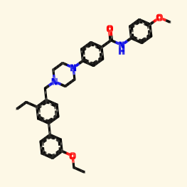 CCOc1cccc(-c2ccc(CN3CCN(c4ccc(C(=O)Nc5ccc(OC)cc5)cc4)CC3)c(CC)c2)c1